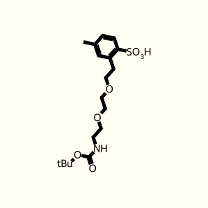 Cc1ccc(S(=O)(=O)O)c(CCOCCOCCNC(=O)OC(C)(C)C)c1